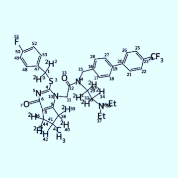 [2H]C([2H])(Sc1nc(=O)c2c(n1CC(=O)N(Cc1ccc(-c3ccc(C(F)(F)F)cc3)cc1)C([2H])([2H])C([2H])([2H])N(CC)CC)C([2H])([2H])C([2H])(C)C2([2H])[2H])c1ccc(F)cc1